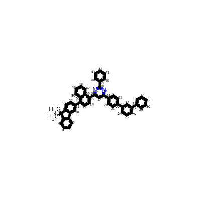 CC1(C)c2ccccc2-c2cc(-c3ccc(-c4cc(-c5ccc(-c6cccc(-c7ccccc7)c6)cc5)nc(-c5ccccc5)n4)c4ccccc34)ccc21